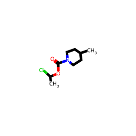 CC1CCN(C(=O)OC(C)Cl)CC1